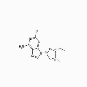 CC[C@H]1O[C@@H](n2cnc3c(N)nc(Cl)nc32)C[C@H]1C